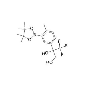 Cc1ccc(C(O)(CO)C(F)(F)F)cc1B1OC(C)(C)C(C)(C)O1